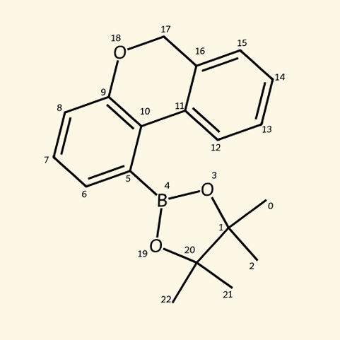 CC1(C)OB(c2cccc3c2-c2ccccc2CO3)OC1(C)C